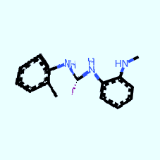 CNc1ccccc1N[C@H](I)Nc1ccccc1C